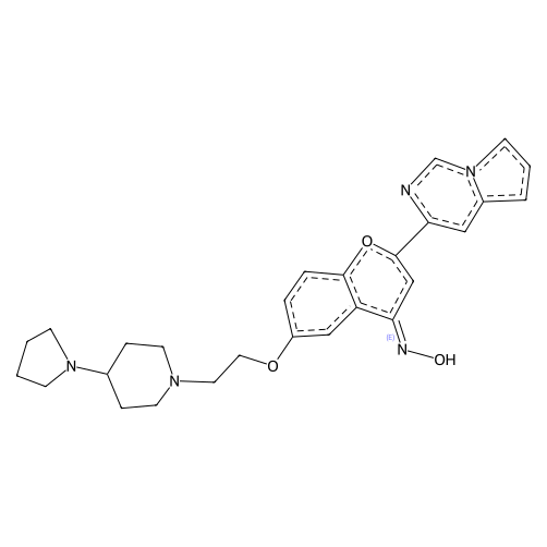 O/N=c1\cc(-c2cc3cccn3cn2)oc2ccc(OCCN3CCC(N4CCCC4)CC3)cc12